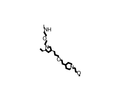 CC[C@@H]1C[C@H](CCCOCCC2CCN(CCOC)CC2)CN1CCOCCNI